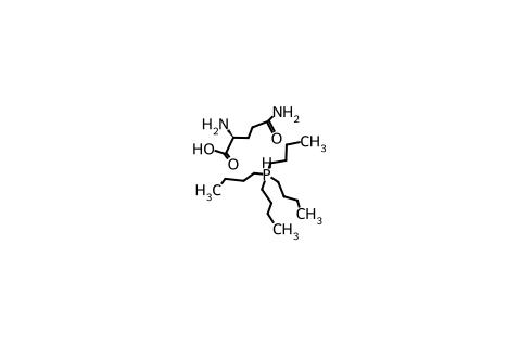 CCCC[PH](CCCC)(CCCC)CCCC.NC(=O)CC[C@H](N)C(=O)O